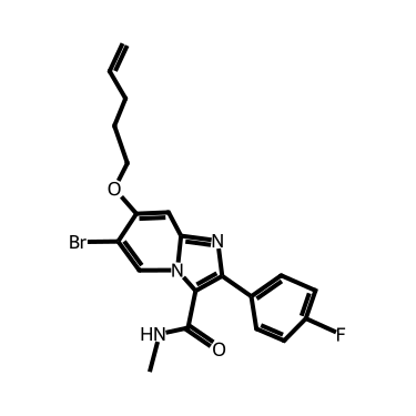 C=CCCCOc1cc2nc(-c3ccc(F)cc3)c(C(=O)NC)n2cc1Br